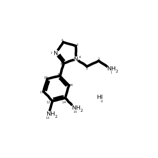 I.NCCN1CCN=C1c1ccc(N)c(N)c1